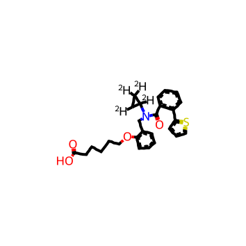 [2H]C1C([2H])([2H])C1([2H])N(Cc1ccccc1OCCCCCC(=O)O)C(=O)c1ccccc1-c1cccs1